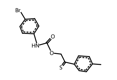 Cc1ccc(C(=S)COC(=O)Nc2ccc(Br)cc2)cc1